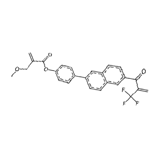 C=C(COC)C(=O)Oc1ccc(-c2ccc3cc(C(=O)C(=C)C(F)(F)F)ccc3c2)cc1